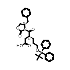 CC(C)(C)[Si](OCCC[C@@H](CC(=O)O)C(=O)N1C(=O)OC[C@H]1Cc1ccccc1)(c1ccccc1)c1ccccc1